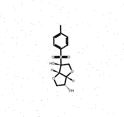 Cc1ccc(S(=O)(=O)[C@]2(O)CO[C@@H]3[C@H](O)CO[C@@H]32)cc1